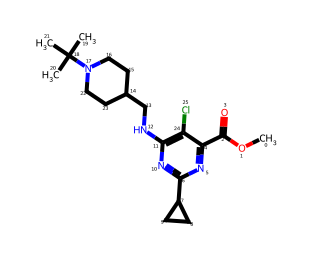 COC(=O)c1nc(C2CC2)nc(NCC2CCN(C(C)(C)C)CC2)c1Cl